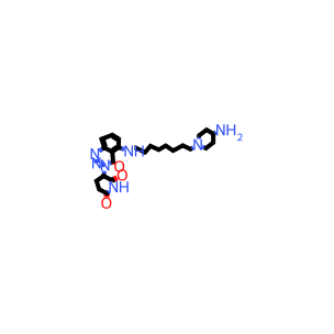 NC1CCN(CCCCCCCCNc2cccc3nnn(C4CCC(=O)NC4=O)c(=O)c23)CC1